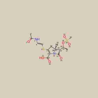 CC(=O)NC=CSC1=C(C(=O)O)N2C(=O)[C@H]([C@H](C)OS(C)(=O)=O)[C@H]2C1